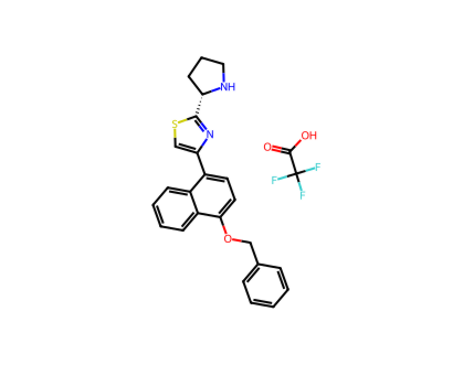 O=C(O)C(F)(F)F.c1ccc(COc2ccc(-c3csc([C@@H]4CCCN4)n3)c3ccccc23)cc1